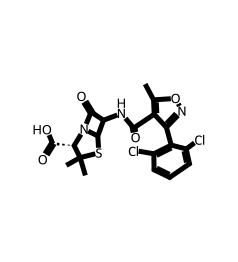 Cc1onc(-c2c(Cl)cccc2Cl)c1C(=O)NC1C(=O)N2C1SC(C)(C)[C@@H]2C(=O)O